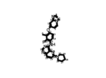 Cc1c(Oc2ccn3ncnc3c2)ccc(Nc2ncnc3ccc(N4CCCCC4)nc23)c1F